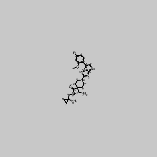 COc1cc(F)ccc1-c1cnc2sc(N3CCC(CN)(C(=O)NCC4(N)CC4)CC3)nn12